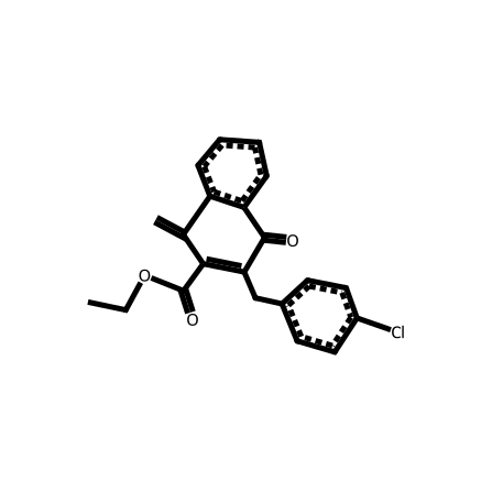 C=C1C(C(=O)OCC)=C(Cc2ccc(Cl)cc2)C(=O)c2ccccc21